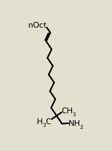 CCCCCCCCC=CCCCCCCCCC(C)(C)CN